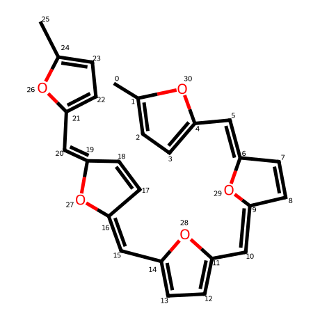 Cc1ccc(C=c2ccc(=Cc3ccc(C=c4ccc(=Cc5ccc(C)o5)o4)o3)o2)o1